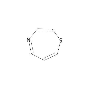 [C]1=CN=[C]C=CS1